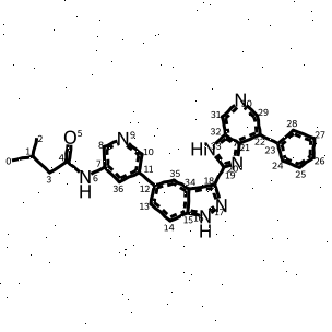 CC(C)CC(=O)Nc1cncc(-c2ccc3[nH]nc(-c4nc5c(-c6ccccc6)cncc5[nH]4)c3c2)c1